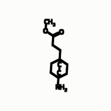 COC(=O)CCC12CCC(N)(CC1)CC2